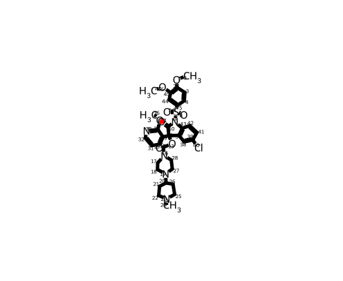 COc1ccc(S(=O)(=O)N2C(=O)C(OC(=O)N3CCN(C4CCN(C)CC4)CC3)(c3cccnc3OC)c3cc(Cl)ccc32)cc1OC